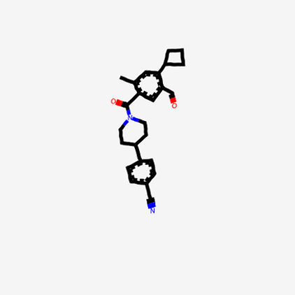 Cc1cc(C2CCC2)c([C]=O)cc1C(=O)N1CCC(c2ccc(C#N)cc2)CC1